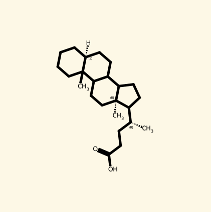 C[C@H](CCC(=O)O)C1CCC2C3CC[C@@H]4CCCCC4(C)C3CC[C@@]21C